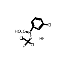 F.O=C(O)N(SC(F)(Cl)Cl)c1cccc(Cl)c1